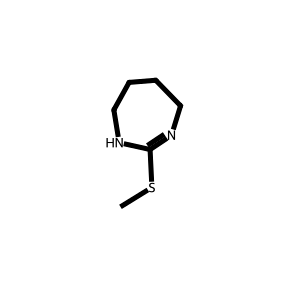 CSC1=NCCCCN1